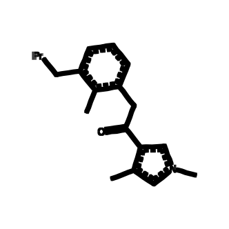 Cc1cn(C)cc1C(=O)Cc1cccc(CC(C)C)c1C